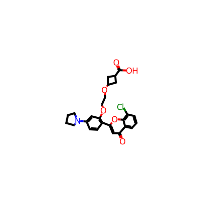 O=C(O)C1CC(OCCOc2cc(N3CCCC3)ccc2-c2cc(=O)c3cccc(Cl)c3o2)C1